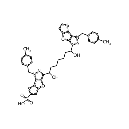 Cc1ccc(Cn2nc(C(O)CCCCCC(O)c3nn(Cc4ccc(C)cc4)c4c3oc3cc(S(=O)(=O)O)sc34)c3oc4ccsc4c32)cc1